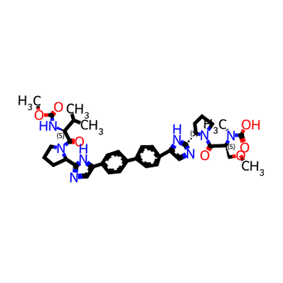 COC[C@@H](C(=O)N1CCC[C@H]1c1ncc(-c2ccc(-c3ccc(-c4cnc(C5CCCN5C(=O)[C@@H](NC(=O)OC)C(C)C)[nH]4)cc3)cc2)[nH]1)N(C)C(=O)O